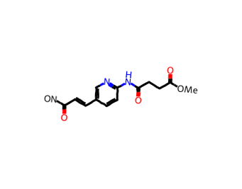 COC(=O)CCC(=O)Nc1ccc(/C=C/C(=O)N=O)cn1